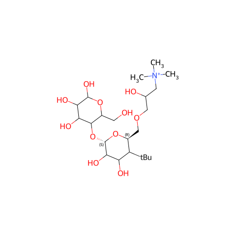 CC(C)(C)C1C(O)C(O)[C@H](OC2C(CO)OC(O)C(O)C2O)O[C@H]1COCC(O)C[N+](C)(C)C